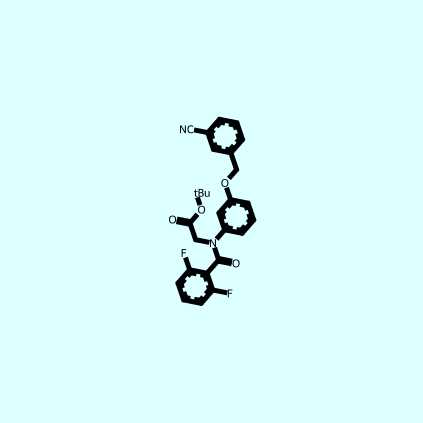 CC(C)(C)OC(=O)CN(C(=O)c1c(F)cccc1F)c1cccc(OCc2cccc(C#N)c2)c1